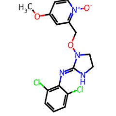 COc1cc[n+]([O-])c(CON2CCN/C2=N\c2c(Cl)cccc2Cl)c1